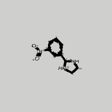 O=[N+]([O-])c1cccc(C2NCCN2)c1